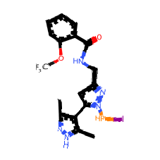 Cc1n[nH]c(C)c1-c1cc(CNC(=O)c2ccccc2OC(F)(F)F)nn1PI